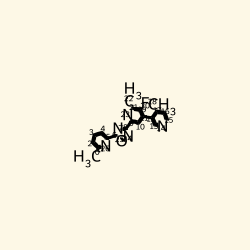 Cc1cccc(-c2nc(-c3cc(-c4cnccc4C)c(F)c(C)n3)no2)n1